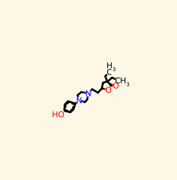 CCC1(CC)CC(CCN2CCN(c3ccc(O)cc3)CC2)OC1=O